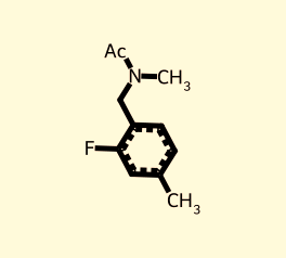 CC(=O)N(C)Cc1ccc(C)cc1F